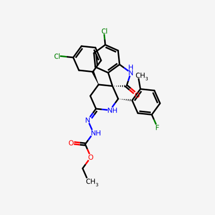 CCOC(=O)N/N=C1/C[C@@H](C2C=CC=C(Cl)C2)[C@]2(C(=O)Nc3cc(Cl)ccc32)[C@H](c2cc(F)ccc2C)N1